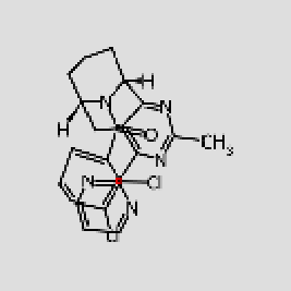 Cc1nc(-c2ncccn2)c2c(n1)[C@H]1CCC[C@@H](C2)N1C(=O)c1cccc(Cl)c1Cl